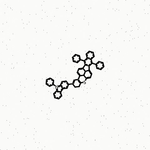 C1=C(c2ccc3c(c2)c2ccccc2n3-c2ccccc2)CCC2=C1C1=CC=C3c4c(c(-c5ccccc5)c5ccccc5c4-c4ccccc4)C4=CC=C(S2)C1C43